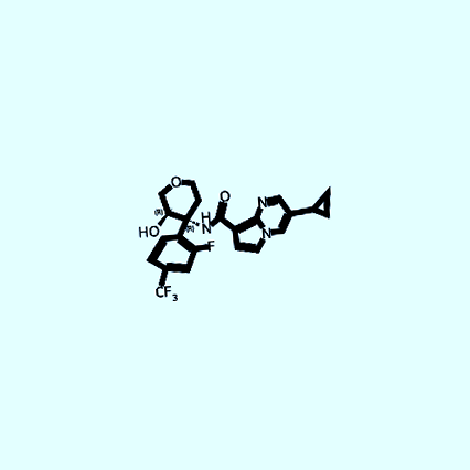 O=C(N[C@@]1(c2ccc(C(F)(F)F)cc2F)CCOC[C@@H]1O)c1ccn2cc(C3CC3)cnc12